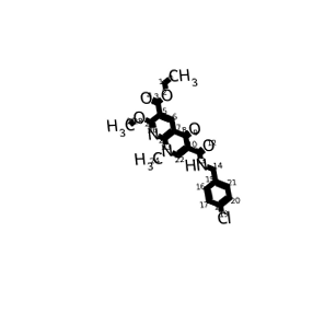 CCOC(=O)c1cc2c(=O)c(C(=O)NCc3ccc(Cl)cc3)cn(C)c2nc1OC